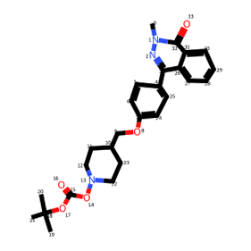 Cn1nc(-c2ccc(OCC3CCN(OC(=O)OC(C)(C)C)CC3)cc2)c2ccccc2c1=O